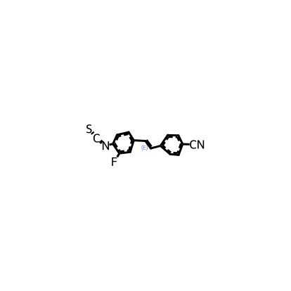 N#Cc1ccc(/C=C/c2ccc(N=C=S)c(F)c2)cc1